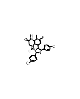 CC1C(F)=CC2(C)C3=C1NC(=O)CN3C(=O)N1C(c3ccc(Cl)cc3)=NC(c3ccc(Cl)cc3)C12